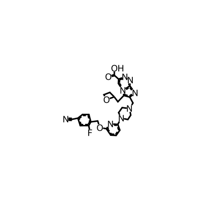 N#Cc1ccc(COc2cccc(N3CCN(Cc4nc5nnc(C(=O)O)cn5c4CC4CCO4)CC3)n2)c(F)c1